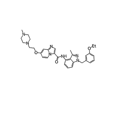 CCOc1cccc(Cn2nc(C)c3c(NC(=O)c4cnc5cc(OCCN6CCN(C)CC6)ccn45)cccc32)c1